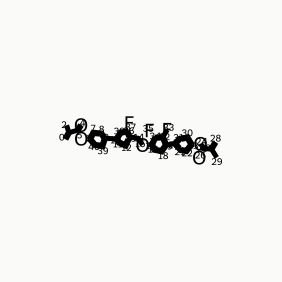 C=C(C)C(=O)Oc1ccc(-c2ccc(COc3ccc(-c4ccc(OC(=O)C(=C)C)cc4)c(F)c3F)c(F)c2)cc1